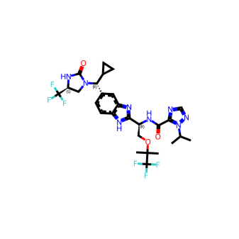 CC(C)n1ncnc1C(=O)N[C@@H](COC(C)(C)C(F)(F)F)c1nc2cc([C@@H](C3CC3)N3C[C@@H](C(F)(F)F)NC3=O)ccc2[nH]1